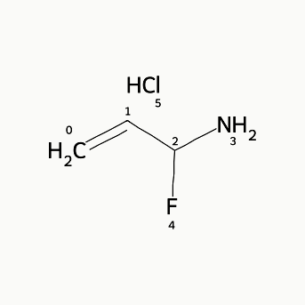 C=CC(N)F.Cl